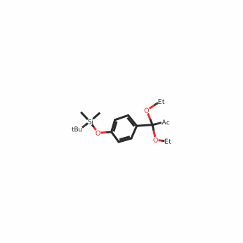 CCOC(OCC)(C(C)=O)c1ccc(O[Si](C)(C)C(C)(C)C)cc1